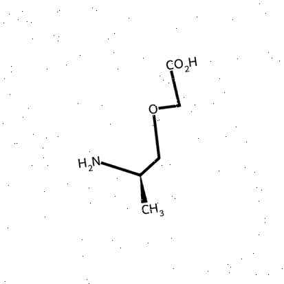 C[C@@H](N)COCC(=O)O